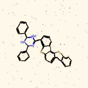 c1ccc(C2N=C(c3cccc4c3sc3ccc5c6ccccc6sc5c34)NC(c3ccccc3)N2)cc1